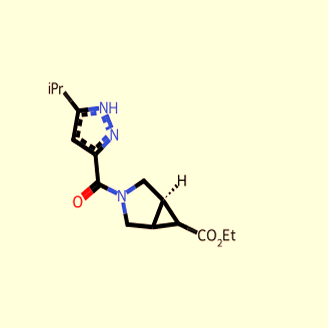 CCOC(=O)C1C2CN(C(=O)c3cc(C(C)C)[nH]n3)C[C@H]21